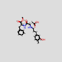 COC(=O)[C@H](Cc1ccccc1)NC(=O)[C@H](CC(=O)O)NCCCc1ccc(C)c(O)c1